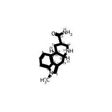 Cn1cc2c3c(cccc31)[C@H]1CC(C(N)=O)CN[C@@H]1C2